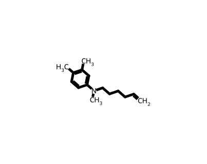 C=CCCCCN(C)c1ccc(C)c(C)c1